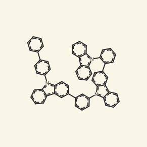 c1ccc(-c2ccc(-n3c4ccccc4c4cc(-c5cccc(-n6c7ccccc7c7cc(-c8ccccc8-n8c9ccccc9c9ccccc98)ccc76)c5)ccc43)cc2)cc1